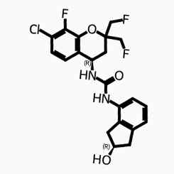 O=C(Nc1cccc2c1C[C@H](O)C2)N[C@@H]1CC(CF)(CF)Oc2c1ccc(Cl)c2F